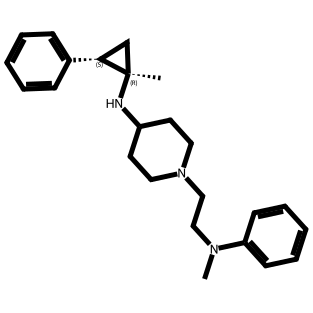 CN(CCN1CCC(N[C@]2(C)C[C@H]2c2ccccc2)CC1)c1ccccc1